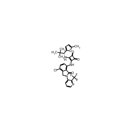 Cc1ccc([C@H](Nc2c(Nc3ccc(Cl)c4c3C(=O)N(c3cccnc3C(F)(F)F)C4)c(=O)c2=O)C(C)(C)C)o1